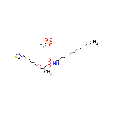 C=C(COCCCCCC[n+]1ccsc1)COC(=O)NCCCCCCCCCCCCCCC.CS(=O)(=O)[O-]